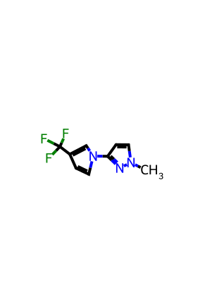 Cn1ccc(-n2ccc(C(F)(F)F)c2)n1